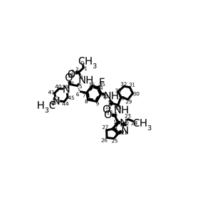 CCC(=O)N[C@H](Cc1ccc(NC(=O)[C@@H](NC(=O)c2c3c(nn2CC)CCC3)C2CCCCC2)c(F)c1)C(=O)N1CCN(C)CC1